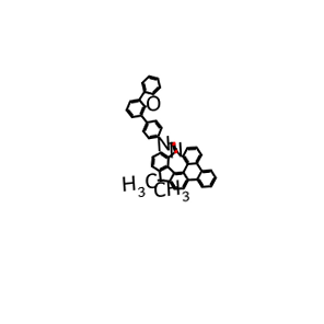 CC1(C)c2ccc3c4ccccc4c4ccccc4c3c2-c2c1ccc1c2c2cnccc2n1-c1ccc(-c2cccc3c2oc2ccccc23)cc1